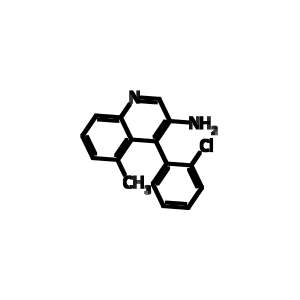 Cc1cccc2ncc(N)c(-c3ccccc3Cl)c12